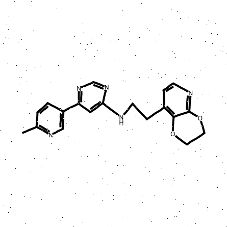 Cc1ccc(-c2cc(NCCc3ccnc4c3OCCO4)ncn2)cn1